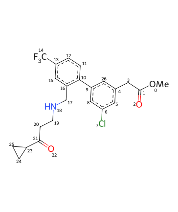 COC(=O)Cc1cc(Cl)cc(-c2ccc(C(F)(F)F)cc2CNCCC(=O)C2CC2)c1